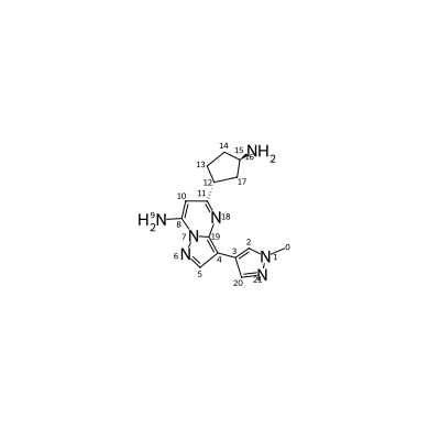 Cn1cc(-c2cnn3c(N)cc([C@@H]4CC[C@@H](N)C4)nc23)cn1